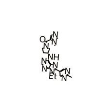 CCn1c(-c2cnc(C)nc2)nc2c(NC3CCN(C(=O)c4cncn4C)C3)ncnc21